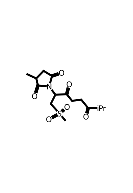 CC(C)C(=O)CCC(=O)C(CS(C)(=O)=O)N1C(=O)CC(C)C1=O